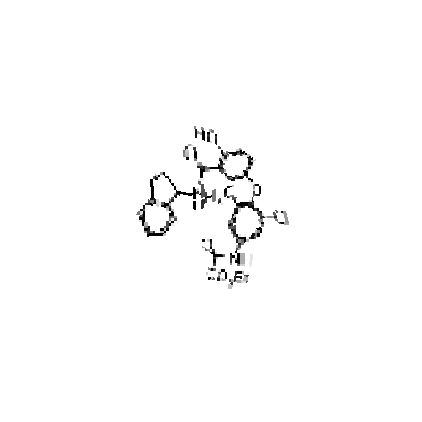 CCOC(=O)C(=O)Nc1cc(C)c(Oc2ccc(O)c(C(=O)NC3CCc4ccccc43)c2)c(Cl)c1